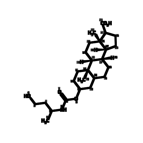 CC(CCO)NC(=O)OC1CC[C@@]2(C)C(CC[C@@H]3[C@@H]2CC[C@]2(C)C(C(=O)O)CC[C@@H]32)C1